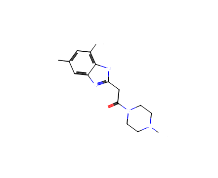 CN1CCN(C(=O)Cc2nc3cc(C(F)(F)F)cc(C(F)(F)F)c3[nH]2)CC1